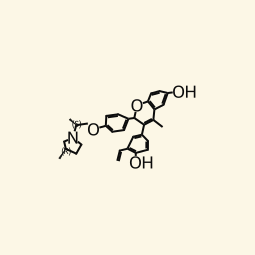 C=Cc1cc(C2=C(C)c3cc(O)ccc3OC2c2ccc(OC[C@H](C)N3CC[C@@H](C)C3)cc2)ccc1O